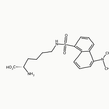 CN(C)c1cccc2c(S(=O)(=O)NCCCC[C@H](N)C(=O)O)cccc12